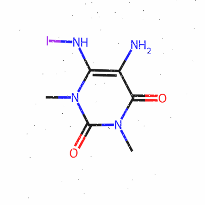 Cn1c(NI)c(N)c(=O)n(C)c1=O